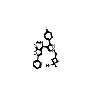 CC1(O)CC(Cn2cc(-c3ncnc4oc(-c5ccccc5)cc34)c(-c3ccc(F)cc3)n2)C1